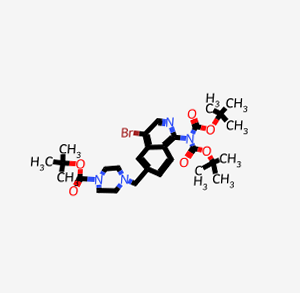 CC(C)(C)OC(=O)N1CCN(Cc2ccc3c(N(C(=O)OC(C)(C)C)C(=O)OC(C)(C)C)ncc(Br)c3c2)CC1